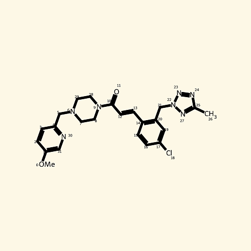 COc1ccc(CN2CCN(C(=O)C=Cc3ccc(Cl)cc3Cn3nnc(C)n3)CC2)nc1